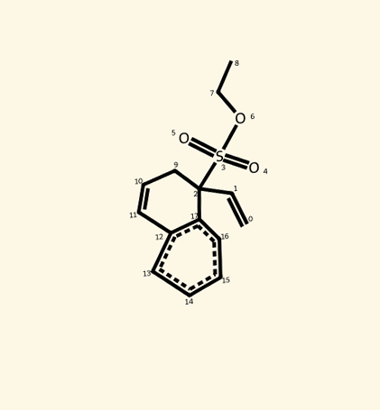 C=CC1(S(=O)(=O)OCC)CC=Cc2ccccc21